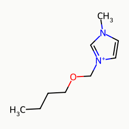 CCCCOC[n+]1ccn(C)c1